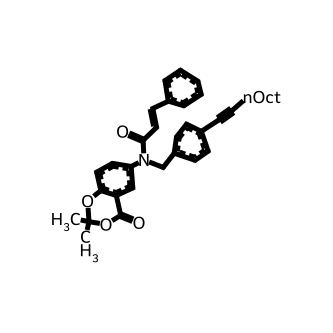 CCCCCCCCC#Cc1ccc(CN(C(=O)C=Cc2ccccc2)c2ccc3c(c2)C(=O)OC(C)(C)O3)cc1